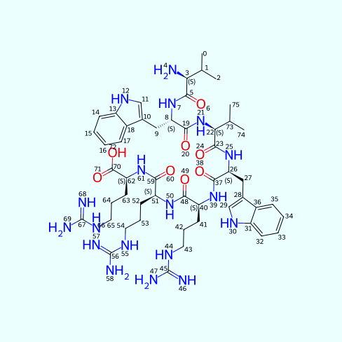 CC(C)[C@H](N)C(=O)N[C@@H](Cc1c[nH]c2ccccc12)C(=O)N[C@H](C(=O)N[C@@H](Cc1c[nH]c2ccccc12)C(=O)N[C@@H](CCCNC(=N)N)C(=O)N[C@@H](CCCNC(=N)N)C(=O)N[C@@H](CCCNC(=N)N)C(=O)O)C(C)C